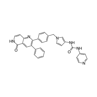 O=C(Nc1ccncc1)Nc1ccn(Cc2ccc(-c3nc4cc[nH]c(=O)c4cc3-c3ccccc3)cc2)c1